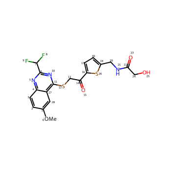 COc1ccc2nc(C(F)F)nc(SCC(=O)c3ccc(CNC(=O)CO)s3)c2c1